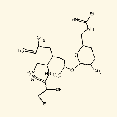 C=CC(C)CC(CC(C)OC1OC(CNC(=N)CC)CCC1N)C(CN)NC(=N)C(O)CF